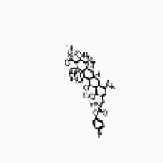 CN(C)c1cc(CNC(=O)Oc2ccc(F)cc2)c(O)c2c1C[C@H]1C[C@H]3[C@H](N(C)C)C(O)C(C(N)=O)C(=O)[C@@]3(O)C(O)=C1C2=O